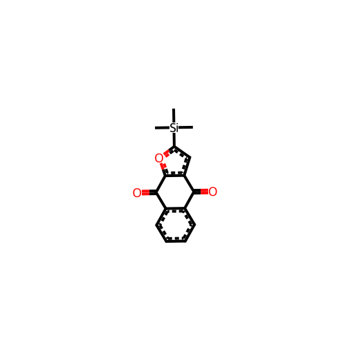 C[Si](C)(C)c1cc2c(o1)C(=O)c1ccccc1C2=O